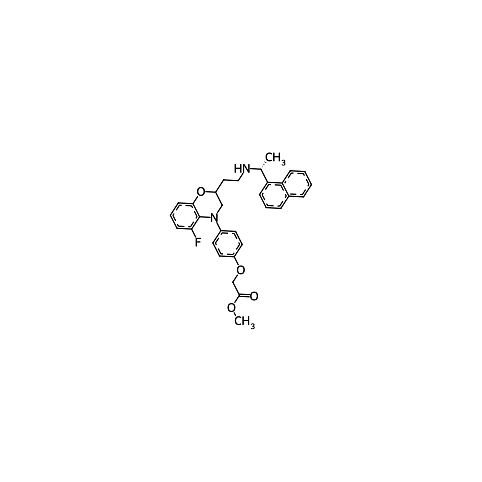 COC(=O)COc1ccc(N2CC(CCN[C@H](C)c3cccc4ccccc34)Oc3cccc(F)c32)cc1